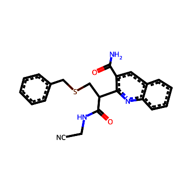 N#CCNC(=O)C(CSCc1ccccc1)c1nc2ccccc2cc1C(N)=O